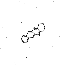 c1ccc2cc3nc4c(nc3cc2c1)CCCC4